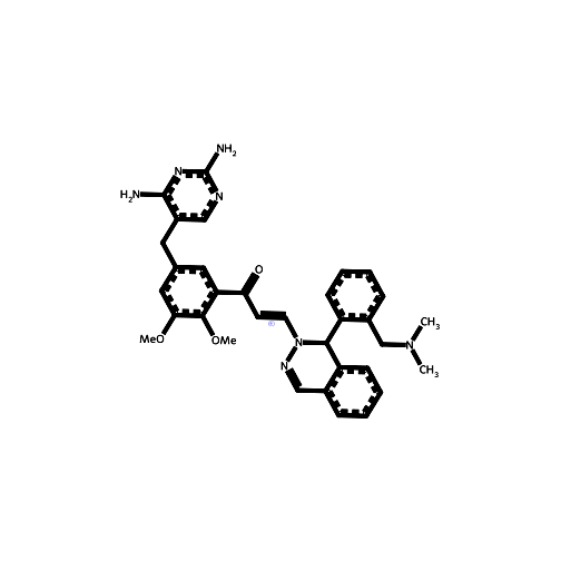 COc1cc(Cc2cnc(N)nc2N)cc(C(=O)/C=C/N2N=Cc3ccccc3C2c2ccccc2CN(C)C)c1OC